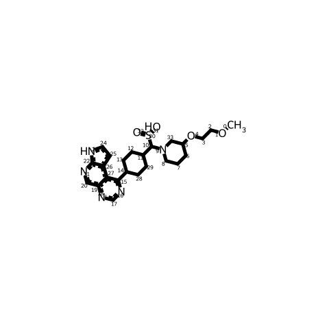 COCCOC1CCCN(C(C2CCC(c3ncnc4cnc5[nH]ccc5c34)CC2)[SH](=O)=O)C1